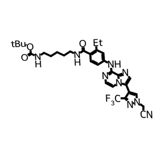 CCc1cc(Nc2nccn3c(-c4cn(CC#N)nc4C(F)(F)F)cnc23)ccc1C(=O)NCCCCCNC(=O)OC(C)(C)C